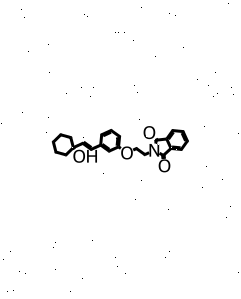 O=C1c2ccccc2C(=O)N1CCOc1cccc(/C=C/C2(O)CCCCC2)c1